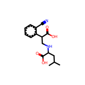 CC(C)CC(NCC(C(=O)O)c1ccccc1C#N)C(=O)O